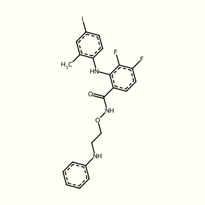 Cc1cc(I)ccc1Nc1c(C(=O)NOCCNc2ccccc2)ccc(F)c1F